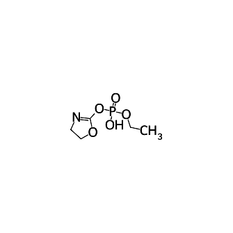 CCOP(=O)(O)OC1=NCCO1